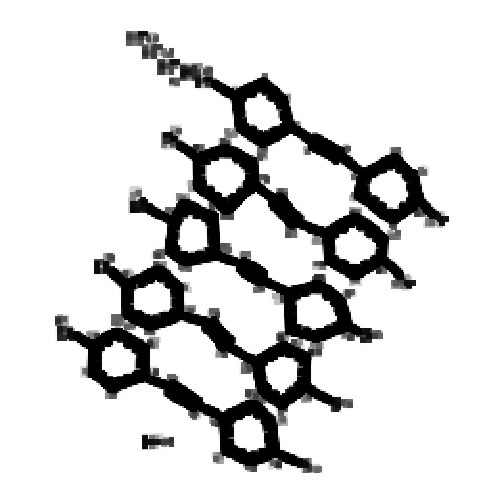 CCc1ccc(C#Cc2ccc([S])cc2)cc1.CCc1ccc(C#Cc2ccc([S])cc2)cc1.CCc1ccc(C#Cc2ccc([S])cc2)cc1.CCc1ccc(C#Cc2ccc([S])cc2)cc1.CCc1ccc(C#Cc2ccc([S])cc2)cc1.F.F.F.F.F